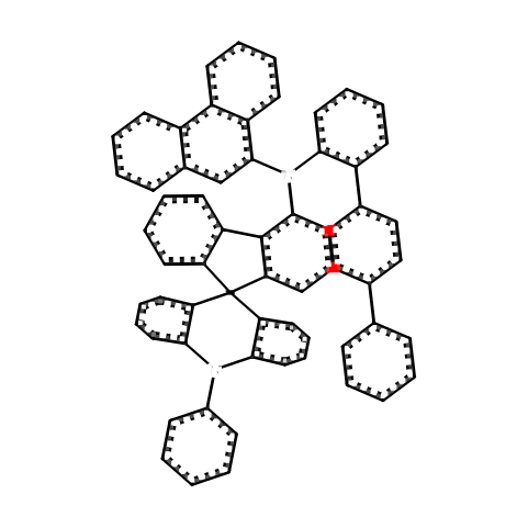 c1ccc(-c2ccc(-c3ccccc3N(c3cccc4c3-c3ccccc3C43c4ccccc4N(c4ccccc4)c4ccccc43)c3cc4ccccc4c4ccccc34)cc2)cc1